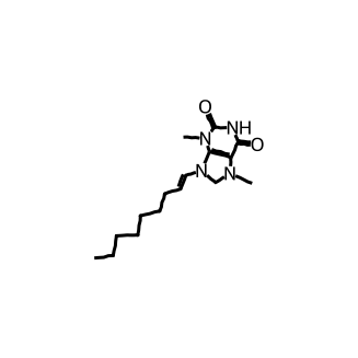 CCCCCCCC=CN1CN(C)c2c1n(C)c(=O)[nH]c2=O